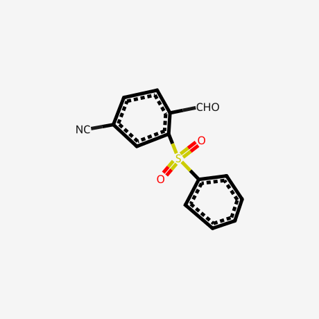 N#Cc1ccc(C=O)c(S(=O)(=O)c2ccccc2)c1